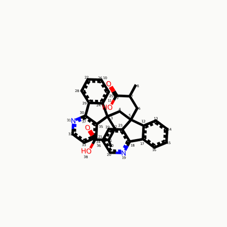 CC(CC1(CC2(CC(C)C(=O)O)c3ccccc3-c3ncccc32)c2ccccc2-c2ncccc21)C(=O)O